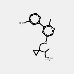 Cc1ncc(OCC2(N(C)C(=O)O)CC2)cc1-c1cccc(N)c1